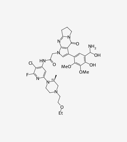 CCOCCN1CCN(c2cc(NC(=O)Cn3cc(-c4cc(C(N)O)c(O)c(OC)c4OC)c4c(=O)n5c(nc43)CCC5)c(Cl)c(F)n2)[C@@H](C)C1